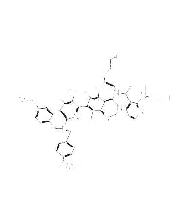 COc1ccc(CN(Cc2ccc(OC)cc2)c2cc(C)c(C(F)(F)F)c(-c3c(F)c4c5c(c3Cl)=NCNC=5N(C(C)c3cccnc3NC(=O)O)C=C(OCCF)O4)n2)cc1